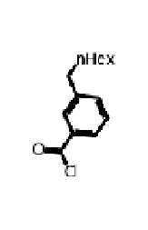 CCCCCCCc1cccc(C(=O)Cl)c1